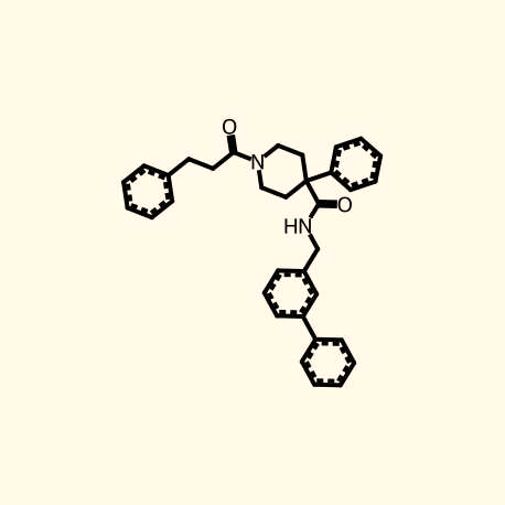 O=C(CCc1ccccc1)N1CCC(C(=O)NCc2cccc(-c3ccccc3)c2)(c2ccccc2)CC1